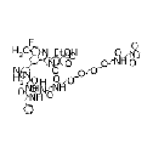 CC[C@@]1(O)C(=O)OCc2c1cc1n(c2=O)Cc2c-1nc1cc(F)c(C)c3c1c2CC(C(CNC(=O)CNC(=O)C(Cc1ccccc1)NC(=O)CNC(=O)CNC(=O)CCOCCOCCOCCOCCNC(=O)CCN1C(=O)C=CC1=O)CC(N)=O)C3